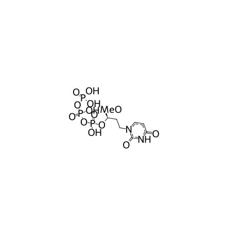 CO[C@@H](CCn1ccc(=O)[nH]c1=O)OP(=O)(O)OP(=O)(O)OP(=O)(O)O